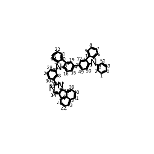 c1ccc(-n2c3ccccc3c3cc(-c4ccc5c(c4)c4ccccc4n5-c4cccc(-c5ncc6c(n5)-c5cccc7cccc-6c57)c4)ccc32)cc1